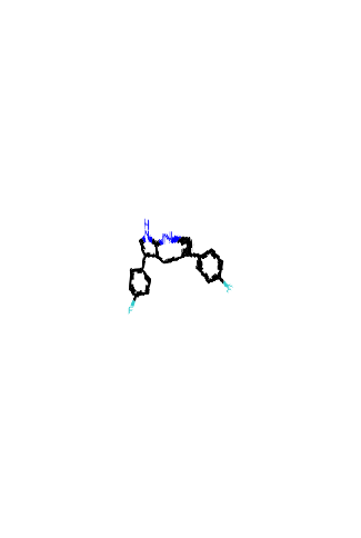 Fc1ccc(-c2cnc3[nH]cc(-c4ccc(F)cc4)c3c2)cc1